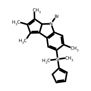 CC1=C(C)C2C(=C1C)c1cc([Si](C)(C)C3=CC=CC3)c(C)cc1N2Br